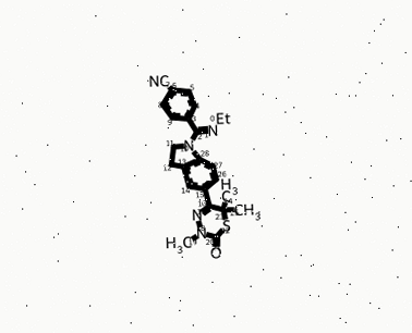 CCN=C(c1ccc(C#N)cc1)N1CCc2cc(C3=NN(C)C(=O)SC3(C)C)ccc21